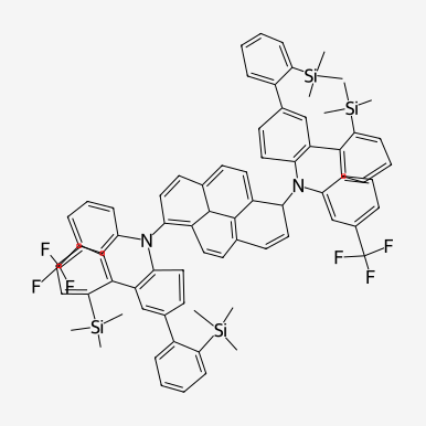 C[Si](C)(C)c1ccccc1-c1ccc(N(C2=C3C=CC4=C5C(=CC=C(C=C2)C35)C(N(c2cccc(C(F)(F)F)c2)c2ccc(-c3ccccc3[Si](C)(C)C)cc2-c2ccccc2[Si](C)(C)C)C=C4)c2cccc(C(F)(F)F)c2)c(-c2ccccc2[Si](C)(C)C)c1